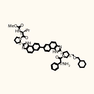 COC(=O)N[C@H](C(=O)N1CCC[C@H]1c1nc2ccc3cc(-c4ccc5c(ccc6nc([C@@H]7C[C@H](COCC8CCCCC8)CN7C(=O)[C@H](N)c7ccccc7)[nH]c65)c4)ccc3c2[nH]1)C(C)C